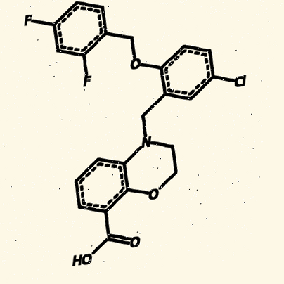 O=C(O)c1cccc2c1OCCN2Cc1cc(Cl)ccc1OCc1ccc(F)cc1F